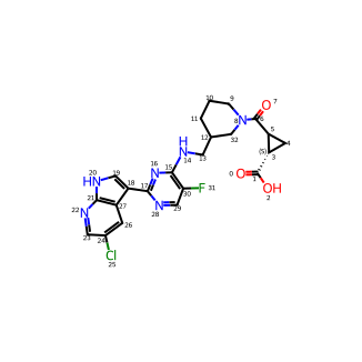 O=C(O)[C@H]1CC1C(=O)N1CCCC(CNc2nc(-c3c[nH]c4ncc(Cl)cc34)ncc2F)C1